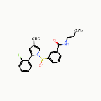 COCCNC(=O)c1cccc([S+]([O-])n2cc(C=O)cc2-c2ccccc2F)c1